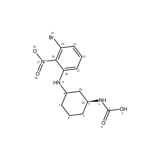 O=C(O)N[C@H]1CCCC(Nc2cccc(Br)c2[N+](=O)[O-])C1